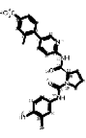 Cc1cc(C(=O)O)ccc1-c1ccc(NC(=O)[C@H]2CCCN2C(=O)Nc2ccc(C(C)C)c(C)c2)nc1